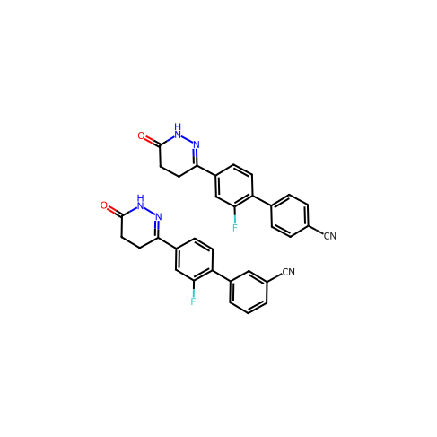 N#Cc1ccc(-c2ccc(C3=NNC(=O)CC3)cc2F)cc1.N#Cc1cccc(-c2ccc(C3=NNC(=O)CC3)cc2F)c1